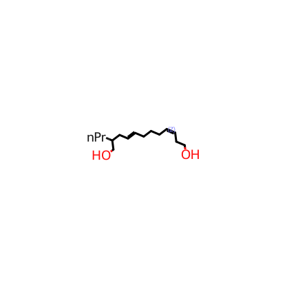 CCCC(CO)CC=CCCC/C=C\CCO